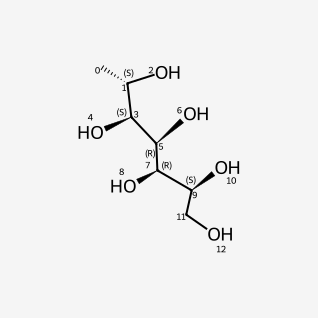 C[C@H](O)[C@H](O)[C@@H](O)[C@H](O)[C@@H](O)CO